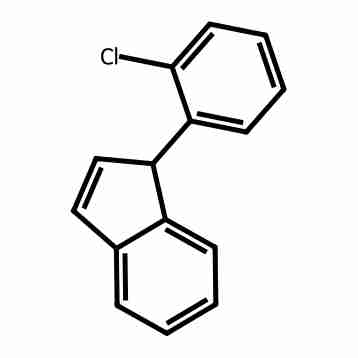 Clc1ccccc1C1C=Cc2ccccc21